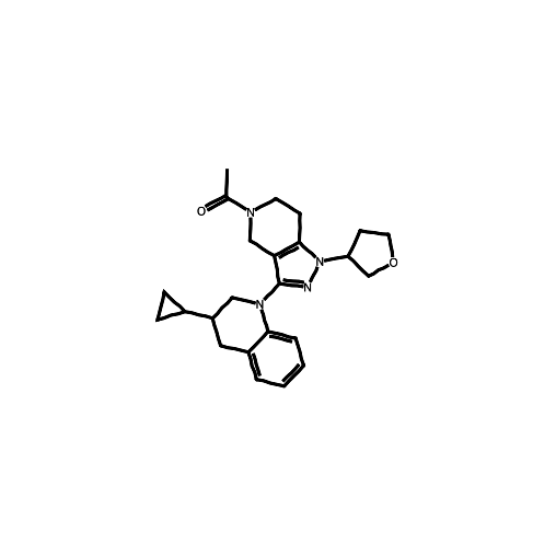 CC(=O)N1CCc2c(c(N3CC(C4CC4)Cc4ccccc43)nn2C2CCOC2)C1